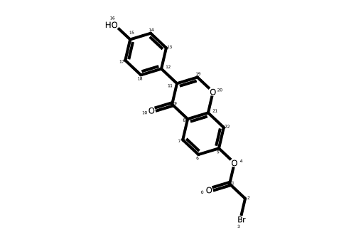 O=C(CBr)Oc1ccc2c(=O)c(-c3ccc(O)cc3)coc2c1